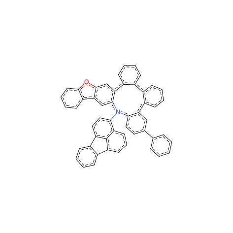 c1ccc(-c2ccc3c(c2)c2ccccc2c2ccccc2c2cc4oc5ccccc5c4cc2n3-c2ccc3c4c(cccc24)-c2ccccc2-3)cc1